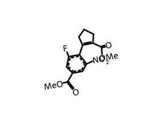 COC(=O)C1=C(c2c(F)cc(C(=O)OC)cc2[N+](=O)[O-])CCC1